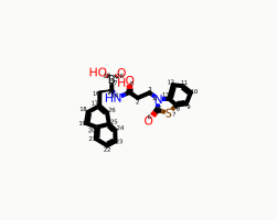 O=C(CCn1c(=O)sc2ccccc21)N[C@@H](Cc1ccc2ccccc2c1)B(O)O